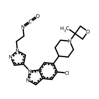 CC1(N2CCC(c3cc4c(cnn4-c4cnn(CCN=C=O)c4)cc3Cl)CC2)COC1